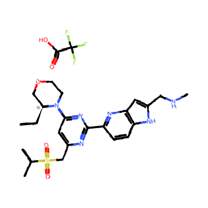 CC[C@H]1COCCN1c1cc(CS(=O)(=O)C(C)C)nc(-c2ccc3[nH]c(CNC)cc3n2)n1.O=C(O)C(F)(F)F